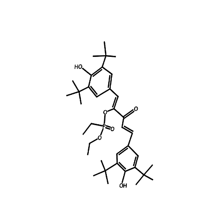 CCOP(=O)(CC)OC(=Cc1cc(C(C)(C)C)c(O)c(C(C)(C)C)c1)C(=O)C=Cc1cc(C(C)(C)C)c(O)c(C(C)(C)C)c1